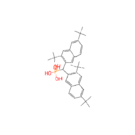 CC(C)(C)c1ccc2cc(C(c3cc4ccc(C(C)(C)C)cc4cc3C(C)(C)C)[PH](O)(O)O)c(C(C)(C)C)cc2c1